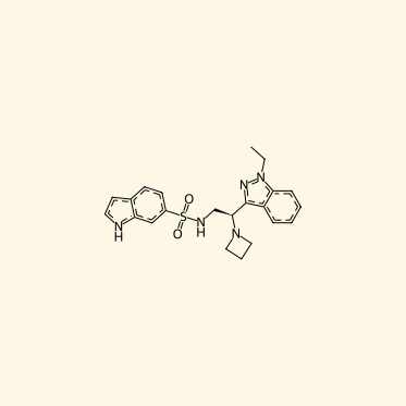 CCn1nc([C@H](CNS(=O)(=O)c2ccc3cc[nH]c3c2)N2CCC2)c2ccccc21